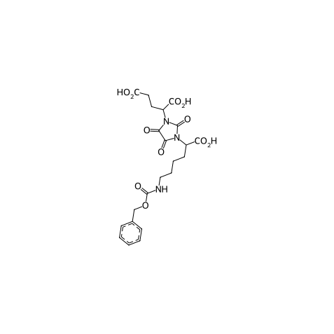 O=C(O)CCC(C(=O)O)N1C(=O)C(=O)N(C(CCCCNC(=O)OCc2ccccc2)C(=O)O)C1=O